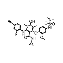 C#Cc1ccc(NC2=C(C(=O)NC3CC3)C(Oc3ccc(NS(=O)(=O)NC)cc3OC)=C(C)C(O)N2C)c(F)c1